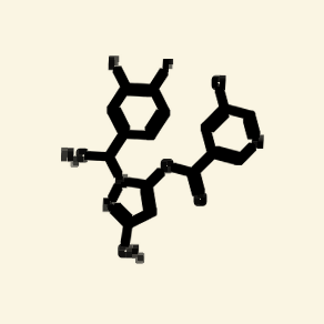 Cc1cc(OC(=O)c2cncc(Cl)c2)n(C(C)c2ccc(F)c(F)c2)n1